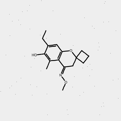 CCc1cc2c(c(C)c1O)C(=NOC)CC1(CCC1)O2